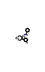 C/C(=C\n1c2c(c3cc(C)ccc31)CCN(C)CC2)c1ccccc1